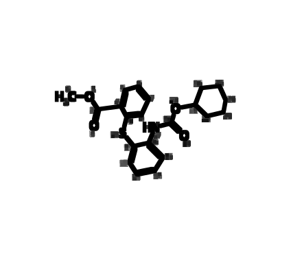 COC(=O)c1ccccc1Sc1ccccc1NC(=O)OC1CCCCC1